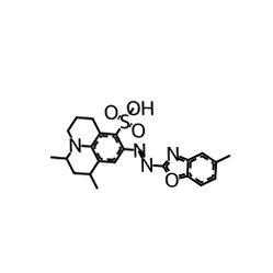 Cc1ccc2oc(N=Nc3cc4c5c(c3S(=O)(=O)O)CCCN5C(C)CC4C)nc2c1